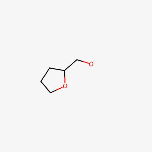 [O]CC1CCCO1